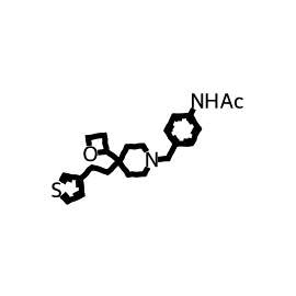 CC(=O)Nc1ccc(CN2CCC(CCc3ccsc3)(C3CCO3)CC2)cc1